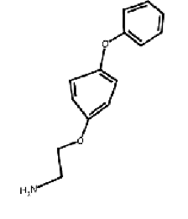 NCCOc1ccc(Oc2ccccc2)cc1